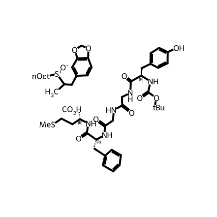 CCCCCCCC[S+]([O-])C(C)Cc1ccc2c(c1)OCO2.CSCC[C@@H](NC(=O)[C@@H](Cc1ccccc1)NC(=O)CNC(=O)CNC(=O)[C@@H](Cc1ccc(O)cc1)NC(=O)OC(C)(C)C)C(=O)O